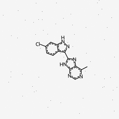 Cc1ncnc2[nH]c(-c3n[nH]c4cc(Cl)ccc34)nc12